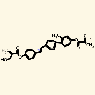 C=C(C)C(=O)Oc1ccc(-c2ccc(/C=C/c3ccc(OC(=O)C(=C)CO)cc3)cc2)c(C)c1